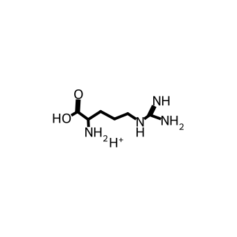 N=C(N)NCCCC(N)C(=O)O.[H+]